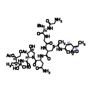 C=C(/C=C\C(=C/C)OC(C)=O)NC(=C)SCC(NC(=O)CNC(=O)[C@@H](NC(=O)CN)[C@@H](C)CC)C(=O)NC(CC(N)=O)C(=O)N1C[C@H](O)C[C@H]1C(=O)N[C@](O)(C=O)[C@@H](C)[C@H](COC(C)=O)OC(C)=O